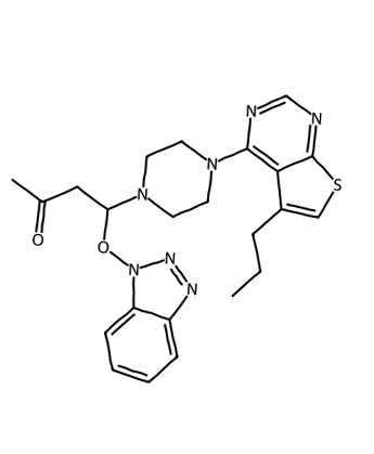 CCCc1csc2ncnc(N3CCN(C(CC(C)=O)On4nnc5ccccc54)CC3)c12